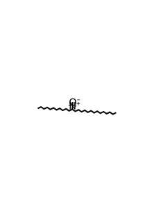 CCCCCCCCCCCCCCC(CCCCCCCCCCC)[N+](C)(C)[O-]